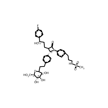 CS(=O)(=O)NCCCc1ccc(N2C(=O)C(CC[C@H](O)c3ccc(F)cc3)[C@H]2c2ccc(CCC3O[C@H](C(=O)O)[C@@H](O)[C@H](O)[C@H]3O)cc2)cc1